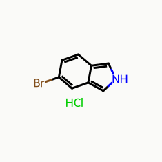 Brc1ccc2c[nH]cc2c1.Cl